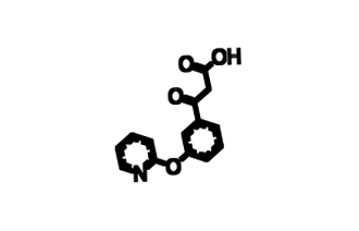 O=C(O)CC(=O)c1cccc(Oc2ccccn2)c1